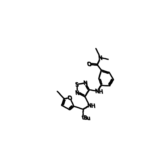 Cc1ccc(C(Nc2nsnc2Nc2cccc(C(=O)N(C)C)c2)C(C)(C)C)o1